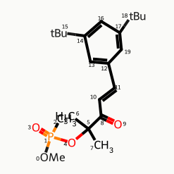 COP(C)(=O)OC(C)(C)C(=O)C=Cc1cc(C(C)(C)C)cc(C(C)(C)C)c1